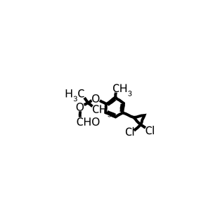 Cc1cc(C2CC2(Cl)Cl)ccc1OC(C)(C)OC=O